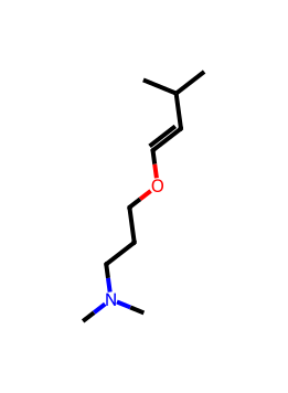 CC(C)C=COCCCN(C)C